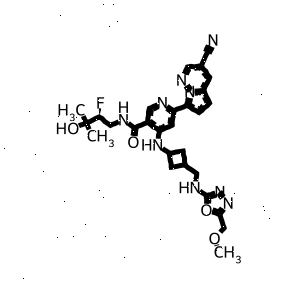 COCc1nnc(NCC2CC(Nc3cc(-c4ccc5cc(C#N)cnn45)ncc3C(=O)NC[C@@H](F)C(C)(C)O)C2)o1